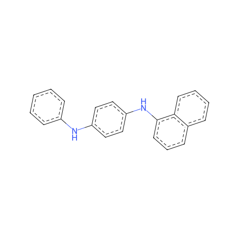 c1ccc(Nc2ccc(Nc3cccc4ccccc34)cc2)cc1